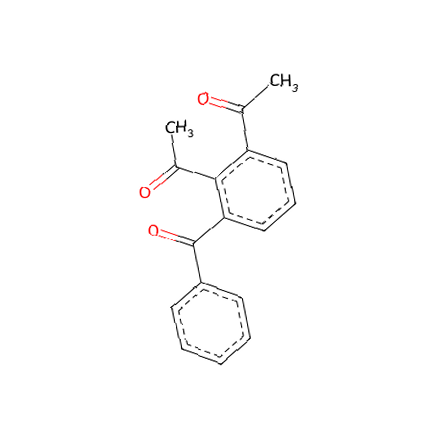 CC(=O)c1cccc(C(=O)c2ccccc2)c1C(C)=O